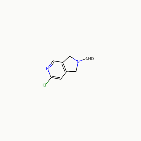 O=CN1Cc2cnc(Cl)cc2C1